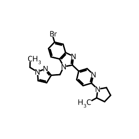 CCn1ccc(Cn2c(-c3ccc(N4CCCC4C)nc3)nc3cc(Br)ccc32)n1